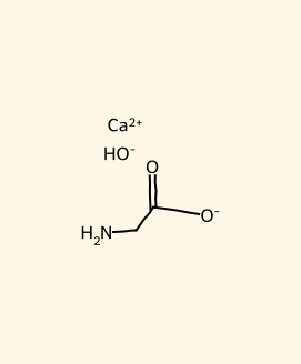 NCC(=O)[O-].[Ca+2].[OH-]